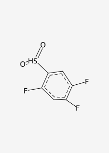 O=[SH](=O)c1cc(F)c(F)cc1F